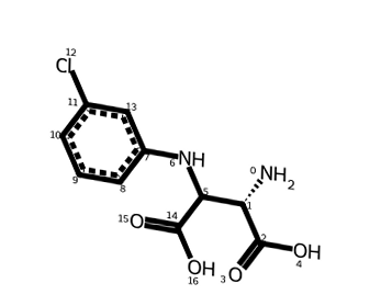 N[C@H](C(=O)O)C(Nc1cccc(Cl)c1)C(=O)O